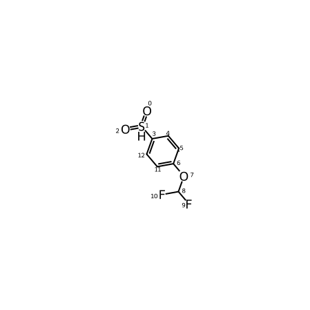 O=[SH](=O)c1c[c]c(OC(F)F)cc1